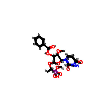 COC1C(OC(=O)c2ccccc2)C(OC(C)P(=O)(O)OC)OC1n1ccc(=O)[nH]c1=O